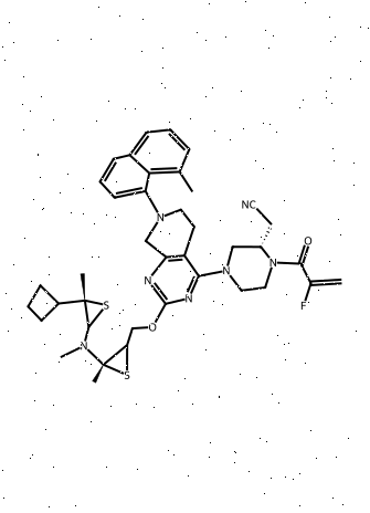 C=C(F)C(=O)N1CCN(c2nc(OCC3S[C@]3(C)N(C)C3S[C@@]3(C)C3CCC3)nc3c2CCN(c2cccc4cccc(C)c24)C3)C[C@@H]1CC#N